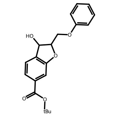 CC(C)(C)OC(=O)c1ccc2c(c1)OC(COc1ccccc1)C2O